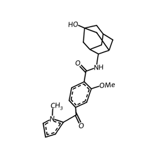 COc1cc(C(=O)c2cccn2C)ccc1C(=O)NC1C2CC3CC1CC(O)(C3)C2